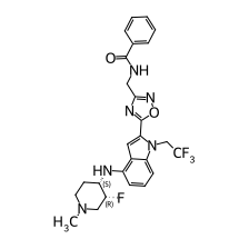 CN1CC[C@H](Nc2cccc3c2cc(-c2nc(CNC(=O)c4ccccc4)no2)n3CC(F)(F)F)[C@H](F)C1